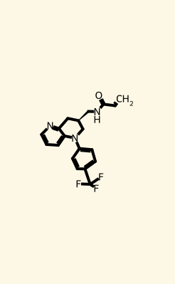 C=CC(=O)NC[C@@H]1Cc2ncccc2N(c2ccc(C(F)(F)F)cc2)C1